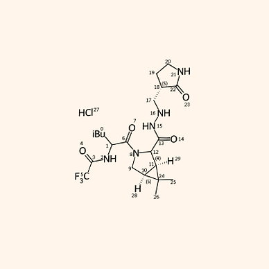 CCC(C)C(NC(=O)C(F)(F)F)C(=O)N1C[C@H]2[C@@H](C1C(=O)NNC[C@@H]1CCNC1=O)C2(C)C.Cl